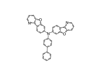 c1ccc(-c2ccc(N(c3ccc4c(c3)oc3cccnc34)c3ccc4c(c3)oc3cccnc34)cc2)cc1